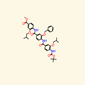 COC(=O)c1ccc(NC(=O)c2ccc(NC(=O)c3ccc(NC(=O)OC(C)(C)C)c(OCC(C)C)c3)c(OCc3ccccc3)c2)c(OCC(C)C)c1